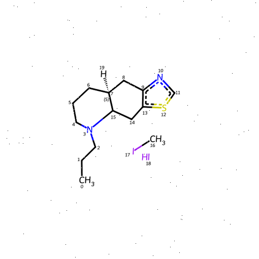 CCCN1CCC[C@H]2Cc3ncsc3CC21.CI.I